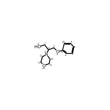 OCC(COc1ccccc1)N1CCOCC1